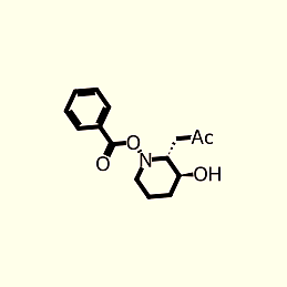 CC(=O)C[C@@H]1[C@@H](O)CCCN1OC(=O)c1ccccc1